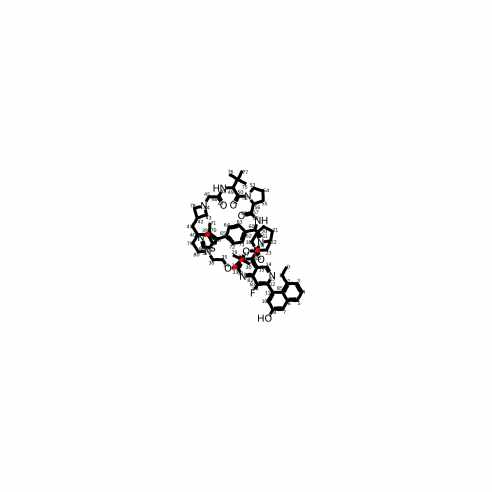 CCc1cccc2cc(O)cc(-c3ncc4c(N5CC6CCC(C5)N6C(=O)OC(C)(C)C)nc(OCCN5CCC(CC6CN(CC(=O)NC(C(=O)N7CCCC7C(=O)NC(C)c7ccc(-c8scnc8C)cc7)C(C)(C)C)C6)CC5)nc4c3F)c12